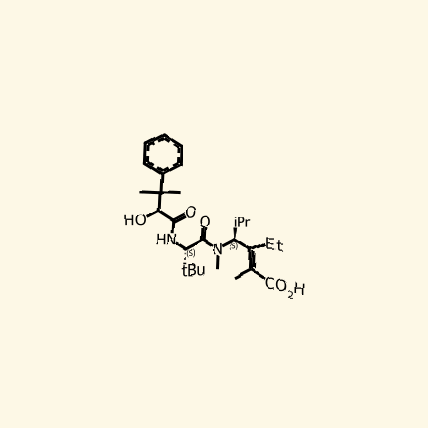 CCC(=C(C)C(=O)O)[C@H](C(C)C)N(C)C(=O)[C@@H](NC(=O)C(O)C(C)(C)c1ccccc1)C(C)(C)C